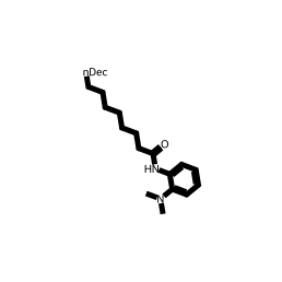 CCCCCCCCCCCCCCCCCC(=O)Nc1ccccc1N(C)C